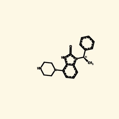 C[C@H](c1ccccc1)n1c(=O)[nH]c2c(N3CCNCC3)cccc21